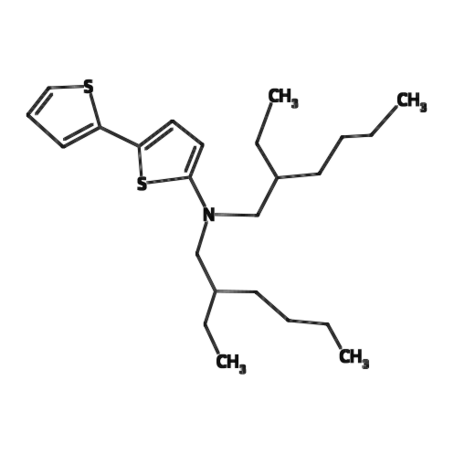 CCCCC(CC)CN(CC(CC)CCCC)c1ccc(-c2cccs2)s1